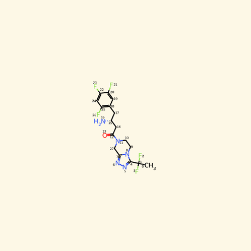 CC(F)(F)c1nnc2n1CCN(C(=O)C[C@H](N)Cc1cc(F)c(F)cc1F)C2